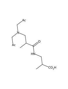 CC(=O)CN(CC(C)=O)CC(C)C(=O)NCC(C)C(=O)O